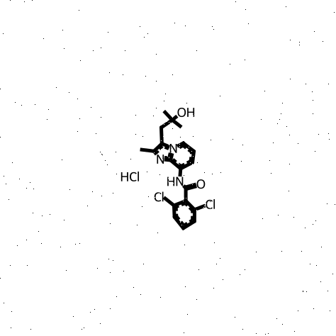 Cc1nc2c(NC(=O)c3c(Cl)cccc3Cl)cccn2c1CC(C)(C)O.Cl